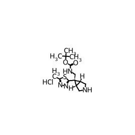 Cc1nnc([C@]2(CNC(=O)OC(C)(C)C)[C@@H]3CNC[C@@H]32)s1.Cl